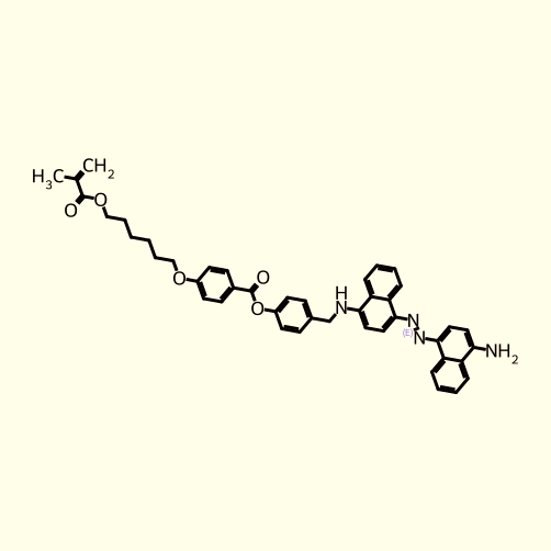 C=C(C)C(=O)OCCCCCCOc1ccc(C(=O)Oc2ccc(CNc3ccc(/N=N/c4ccc(N)c5ccccc45)c4ccccc34)cc2)cc1